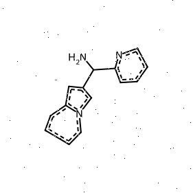 NC(c1cc2ccccn2c1)c1ccccn1